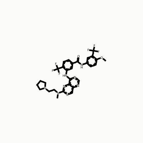 COc1ccc(NC(=O)c2ccc(C(F)(F)F)c(Nc3ncnc4cnc(N(C)CCN5CCCC5)nc34)c2)cc1C(F)(F)F